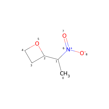 CC(C1CCO1)[N+](=O)[O-]